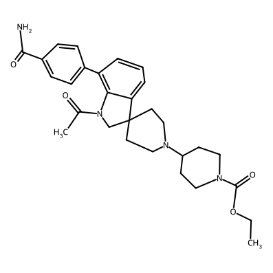 CCOC(=O)N1CCC(N2CCC3(CC2)CN(C(C)=O)c2c(-c4ccc(C(N)=O)cc4)cccc23)CC1